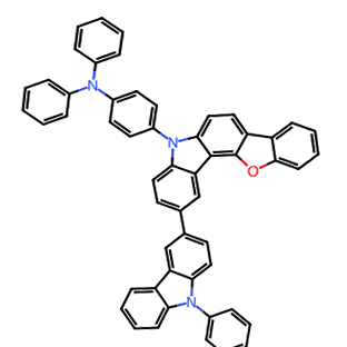 c1ccc(N(c2ccccc2)c2ccc(-n3c4ccc(-c5ccc6c(c5)c5ccccc5n6-c5ccccc5)cc4c4c5oc6ccccc6c5ccc43)cc2)cc1